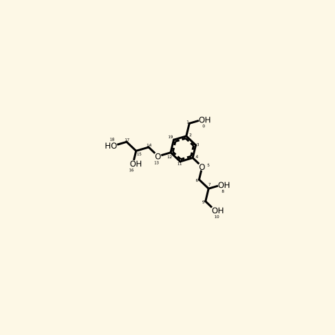 OCc1cc(OCC(O)CO)cc(OCC(O)CO)c1